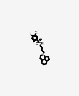 O=S(=O)(NCCCCN1CCC2CCCC3CCC1C32)c1cc(Cl)c(F)cc1F